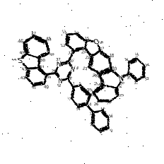 c1ccc(-c2ccc(-c3nc(-c4cccc5oc6cc7c(cc6c45)c4ccccc4n7-c4ccccc4)nc(-c4cccc5sc6ccccc6c45)n3)cc2)cc1